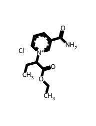 CCOC(=O)C(CC)[n+]1cccc(C(N)=O)c1.[Cl-]